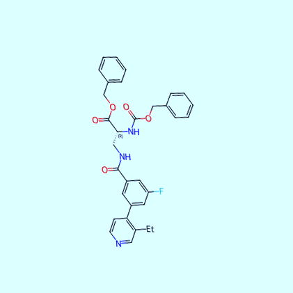 CCc1cnccc1-c1cc(F)cc(C(=O)NC[C@@H](NC(=O)OCc2ccccc2)C(=O)OCc2ccccc2)c1